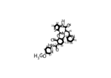 COc1ccc(NC(=O)c2ccc(CN3C(=O)c4sccc4NC(=O)C3Cc3ccccn3)cc2Cl)nc1